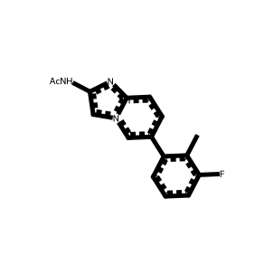 CC(=O)Nc1cn2cc(-c3cccc(F)c3C)ccc2n1